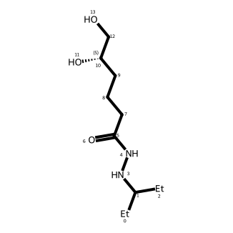 CCC(CC)NNC(=O)CCC[C@H](O)CO